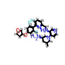 CC1CC(N)CN(c2ccncc2NCc2ccc(F)c(-c3c(F)cc(OC4CCOC4)cc3F)n2)C1